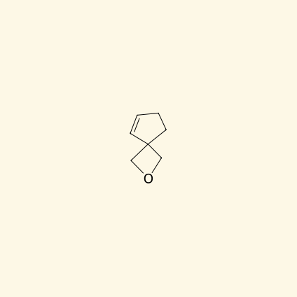 C1=CC2(CC1)COC2